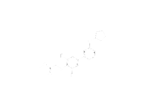 COC(=O)CSc1c(F)cc(-c2cccc(OC3CCCC3)c2)cc1F